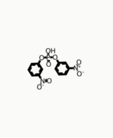 O=[N+]([O-])c1cccc(OP(=O)(O)Oc2cccc([N+](=O)[O-])c2)c1